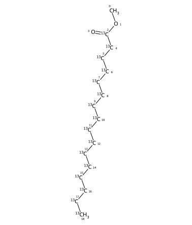 CO[13C](=O)[13CH2][13CH2][13CH2][13CH2][13CH2][13CH2][13CH2][13CH2][13CH2][13CH2][13CH2][13CH2][13CH2][13CH2][13CH3]